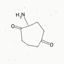 NC1CCC(=O)CCCC1=O